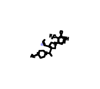 C/C=C\C1=C(C(C)N2CCN(C(C)=O)CC2)CN(c2cn[nH]c(=O)c2C(F)(F)F)C1